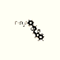 CCOC(=O)c1cccc(-c2ccc(C=C3Cc4ccccc4C3=O)o2)c1